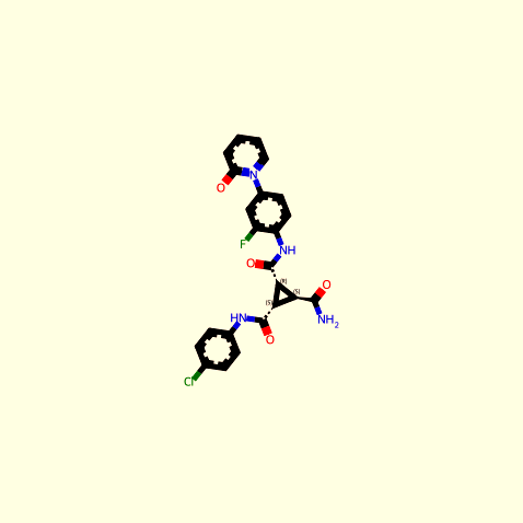 NC(=O)[C@@H]1[C@@H](C(=O)Nc2ccc(-n3ccccc3=O)cc2F)[C@H]1C(=O)Nc1ccc(Cl)cc1